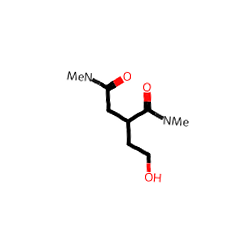 CNC(=O)CC(CCO)C(=O)NC